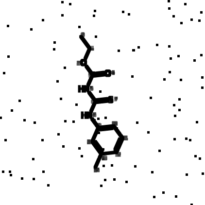 CCOC(=O)NC(=S)Nc1cccc(C)c1